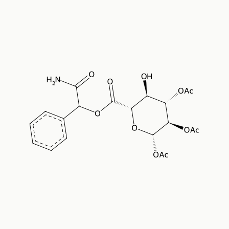 CC(=O)O[C@@H]1O[C@H](C(=O)OC(C(N)=O)c2ccccc2)[C@@H](O)[C@H](OC(C)=O)[C@H]1OC(C)=O